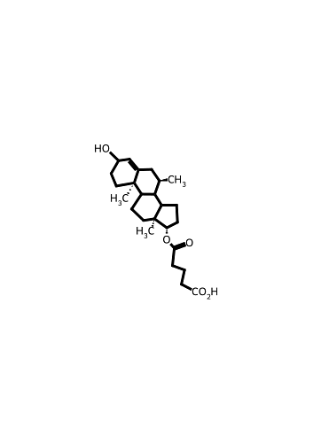 C[C@@H]1CC2=CC(O)CC[C@]2(C)C2CC[C@@]3(C)C(CC[C@@H]3OC(=O)CCCC(=O)O)C21